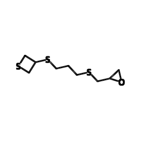 C(CSCC1CO1)CSC1CSC1